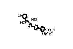 COc1cc(-c2ccc(CCNC[C@H](O)c3cccc(Cl)c3)cc2)ccc1C(=O)O.Cl